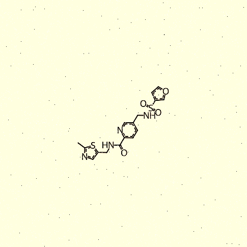 Cc1ncc(CNC(=O)c2ccc(CNS(=O)(=O)c3ccoc3)cn2)s1